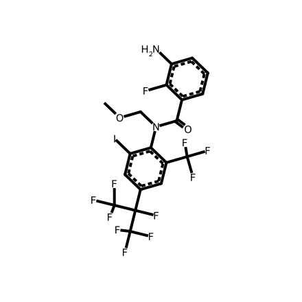 COCN(C(=O)c1cccc(N)c1F)c1c(I)cc(C(F)(C(F)(F)F)C(F)(F)F)cc1C(F)(F)F